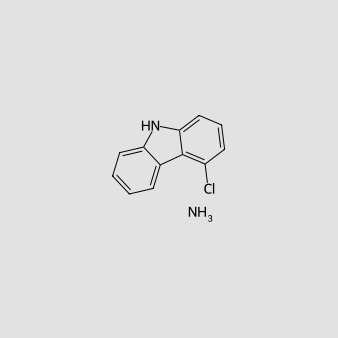 Clc1cccc2[nH]c3ccccc3c12.N